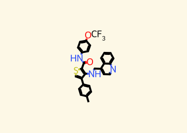 Cc1ccc(-c2csc(C(=O)Nc3ccc(OC(F)(F)F)cc3)c2NCc2ccnc3ccccc23)cc1